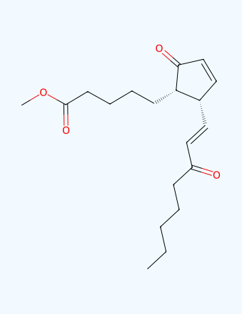 CCCCCC(=O)/C=C/[C@H]1C=CC(=O)[C@H]1CCCCC(=O)OC